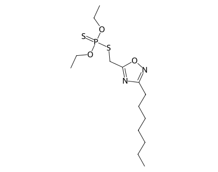 CCCCCCCc1noc(CSP(=S)(OCC)OCC)n1